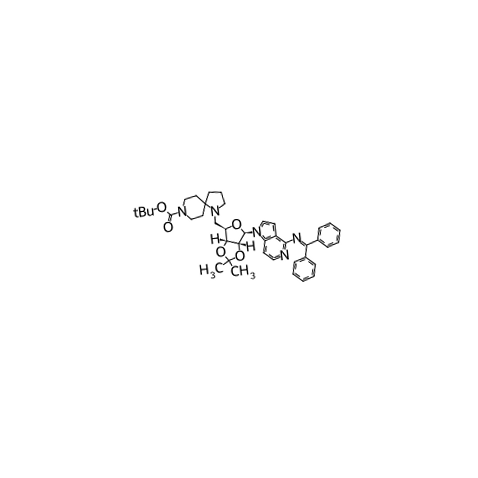 CC(C)(C)OC(=O)N1CCC2(CCCN2C[C@H]2O[C@@H](n3ccc4c(N=C(c5ccccc5)c5ccccc5)nccc43)[C@@H]3OC(C)(C)O[C@@H]32)CC1